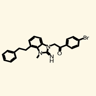 Cn1c(=N)n(CC(=O)c2ccc(Br)cc2)c2cccc(CCc3ccccc3)c21